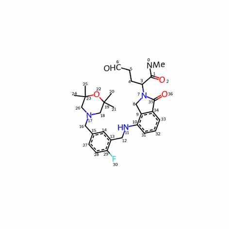 CNC(=O)C(CCC=O)N1Cc2c(NCc3cc(CN4CC(C)(C)OC(C)(C)C4)ccc3F)cccc2C1=O